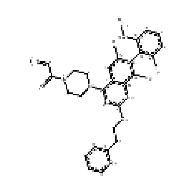 C=CC(=O)N1CCN(c2nc(OCCc3ccccn3)nc3c(F)c(-c4c(F)cccc4OC)c(Cl)cc23)CC1